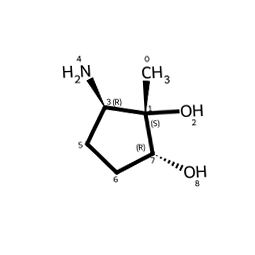 C[C@]1(O)[C@H](N)CC[C@H]1O